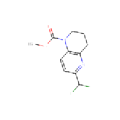 CC(C)(C)OC(=O)N1CCCc2nc(C(F)F)ccc21